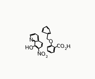 O=C(O)c1ccccc1OCc1ccccc1.O=[N+]([O-])c1ccc2cccnc2c1O